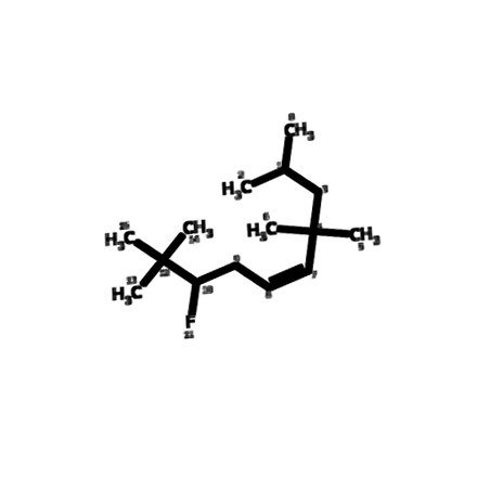 CC(C)CC(C)(C)/C=C\CC(F)C(C)(C)C